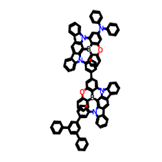 c1ccc(-c2cc(-c3ccccc3)cc(-c3cccc(-n4c5ccccc5c5cc6c7ccccc7n7c6c(c54)B4c5ccccc5Oc5cc(-c6cccc(-n8c9ccccc9c9cc%10c%11ccccc%11n%11c%10c(c98)B8c9ccccc9Oc9cc(N(c%10ccccc%10)c%10ccccc%10)cc-%11c98)c6)cc-7c54)c3)c2)cc1